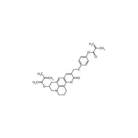 C=C(C)C(=C)OC1Cc2cc3cc(CSc4ccc(OC(=O)C(=C)C)cc4)c(=O)oc3c3c2N(CCC3)C1